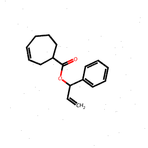 C=CC(OC(=O)C1CC=CCCC1)c1ccccc1